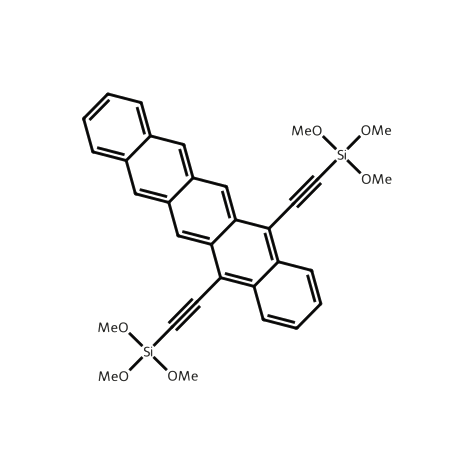 CO[Si](C#Cc1c2ccccc2c(C#C[Si](OC)(OC)OC)c2cc3cc4ccccc4cc3cc12)(OC)OC